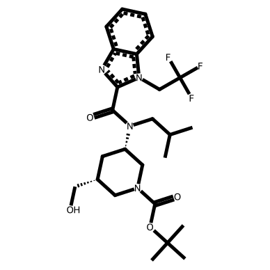 CC(C)CN(C(=O)c1nc2ccccc2n1CC(F)(F)F)[C@H]1C[C@@H](CO)CN(C(=O)OC(C)(C)C)C1